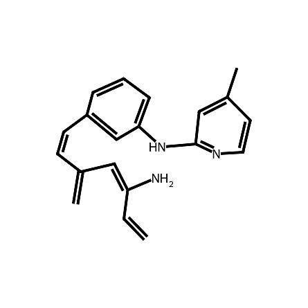 C=C/C(N)=C\C(=C)/C=C\c1cccc(Nc2cc(C)ccn2)c1